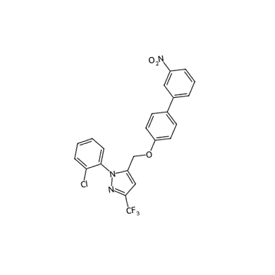 O=[N+]([O-])c1cccc(-c2ccc(OCc3cc(C(F)(F)F)nn3-c3ccccc3Cl)cc2)c1